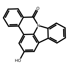 O=c1c2ccccc2c2cc(O)cc3c4ccccc4n1c23